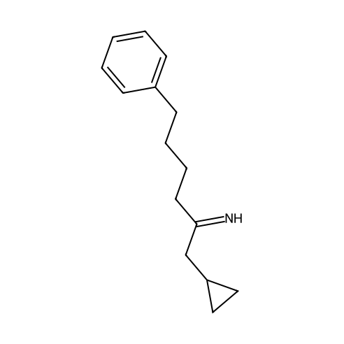 N=C(CCCCc1ccccc1)CC1CC1